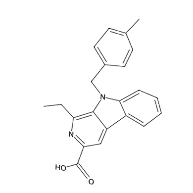 CCc1nc(C(=O)O)cc2c3ccccc3n(Cc3ccc(C)cc3)c12